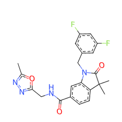 Cc1nnc(CNC(=O)c2ccc3c(c2)N(Cc2cc(F)cc(F)c2)C(=O)C3(C)C)o1